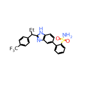 CCC(c1ccc(C(F)(F)F)cc1)c1nc2cc(-c3ccccc3S(N)(=O)=O)ccc2[nH]1